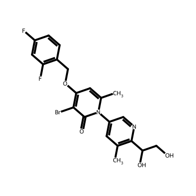 Cc1cc(-n2c(C)cc(OCc3ccc(F)cc3F)c(Br)c2=O)cnc1C(O)CO